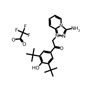 CC(C)(C)c1cc(C(=O)C[n+]2nc(N)n3ccccc32)cc(C(C)(C)C)c1O.O=C([O-])C(F)(F)F